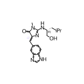 CC(C)C[C@H](CO)NC1=N/C(=C\c2ccc3[nH]cnc3c2)C(=O)N1C